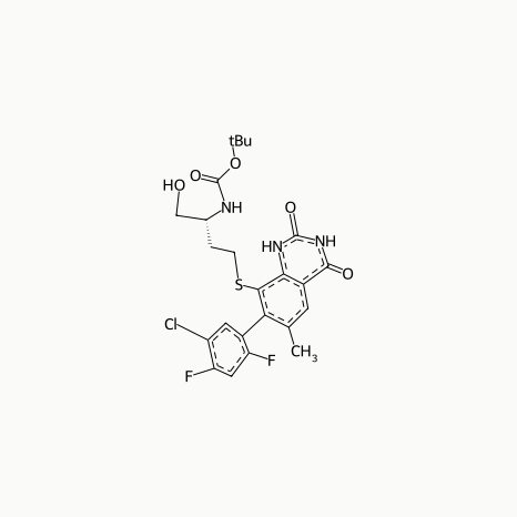 Cc1cc2c(=O)[nH]c(=O)[nH]c2c(SCC[C@H](CO)NC(=O)OC(C)(C)C)c1-c1cc(Cl)c(F)cc1F